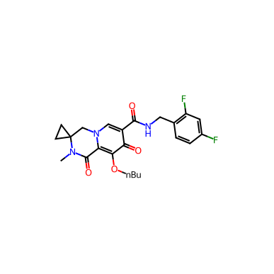 CCCCOc1c2n(cc(C(=O)NCc3ccc(F)cc3F)c1=O)CC1(CC1)N(C)C2=O